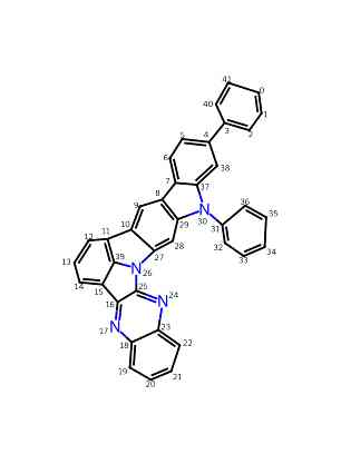 c1ccc(-c2ccc3c4cc5c6cccc7c8nc9ccccc9nc8n(c5cc4n(-c4ccccc4)c3c2)c67)cc1